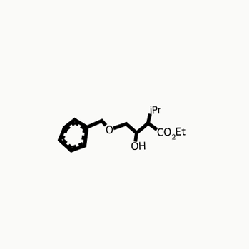 CCOC(=O)C(C(C)C)C(O)COCc1ccccc1